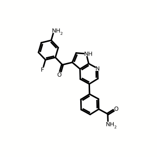 NC(=O)c1cccc(-c2cnc3[nH]cc(C(=O)c4cc(N)ccc4F)c3c2)c1